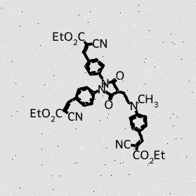 CCOC(=O)/C(C#N)=C/c1ccc(N(C)CCC2C(=O)N(c3ccc(/C=C(\C#N)C(=O)OCC)cc3)N(c3ccc(/C=C(\C#N)C(=O)OCC)cc3)C2=O)cc1